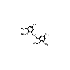 Cc1cc(C)c(OC#N)c(COCc2cc(C)cc(C)c2OC#N)c1